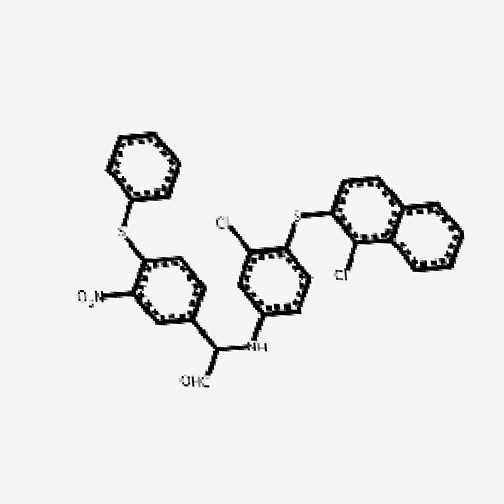 O=CC(Nc1ccc(Sc2ccc3ccccc3c2Cl)c(Cl)c1)c1ccc(Sc2ccccc2)c([N+](=O)[O-])c1